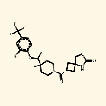 CC(Oc1ccc(C(F)(F)F)cc1F)C1(C)CCN(C(=O)[C@H]2C[C@]3(COC(=O)N3)C2)CC1